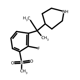 CC(C)(c1cccc(S(C)(=O)=O)c1F)C1CCNCC1